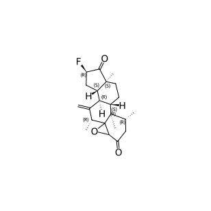 C=C1[C@@H]2[C@H](CC[C@]3(C)C(=O)[C@H](F)C[C@@H]23)[C@@]2(C)[C@H](C)CC(=O)C3OC32[C@@H]1C